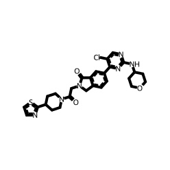 O=C(CN1Cc2ccc(-c3nc(NC4CCOCC4)ncc3Cl)cc2C1=O)N1CCC(c2nccs2)CC1